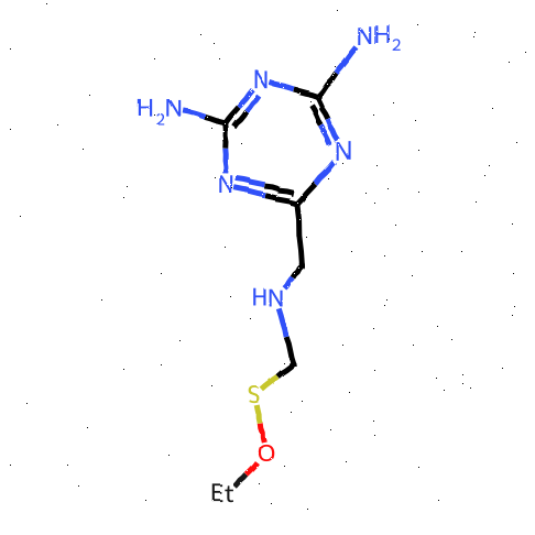 CCOSCNCc1nc(N)nc(N)n1